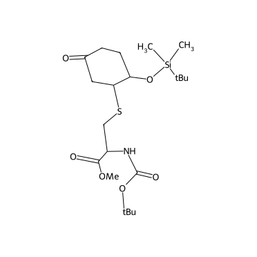 COC(=O)C(CSC1CC(=O)CCC1O[Si](C)(C)C(C)(C)C)NC(=O)OC(C)(C)C